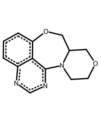 c1cc2c3c(ncnc3c1)N1CCOCC1CO2